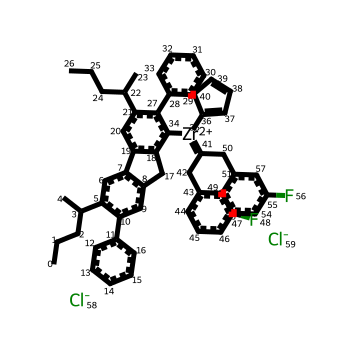 CCCC(C)c1cc2c(cc1-c1ccccc1)Cc1c-2cc(C(C)CCC)c(-c2ccccc2)[c]1[Zr+2]([C]1=CC=CC1)=[C](Cc1cccc(F)c1)Cc1cccc(F)c1.[Cl-].[Cl-]